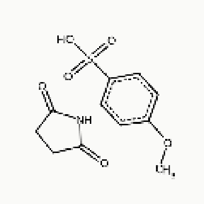 COc1ccc(S(=O)(=O)O)cc1.O=C1CCC(=O)N1